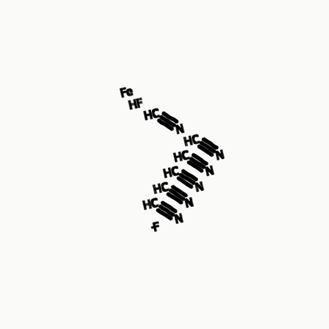 C#N.C#N.C#N.C#N.C#N.C#N.F.[F].[Fe]